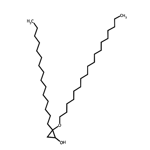 CCCCCCCCCCCCCCCCCCOC1(CCCCCCCCCCCCCCC)CC1O